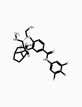 CN[C@H](CCO)[C@]1(O)CC2CCC(C1)[C@H]2S(=O)(=O)c1cc(C(=O)Nc2cc(F)c(F)c(F)c2)ccc1Cl